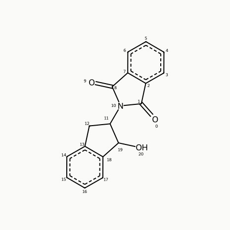 O=C1c2ccccc2C(=O)N1C1Cc2ccccc2C1O